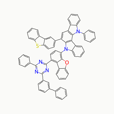 c1ccc(-c2cccc(-c3nc(-c4ccccc4)nc(-c4ccc(-n5c6ccccc6c6c5c(-c5ccc7sc8ccccc8c7c5)cc5c7ccccc7n(-c7ccccc7)c56)c5oc6ccccc6c45)n3)c2)cc1